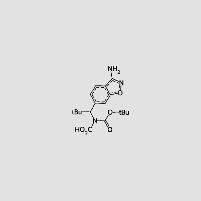 CC(C)(C)OC(=O)N(C(=O)O)C(c1ccc2c(N)noc2c1)C(C)(C)C